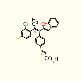 C/C(=C(/c1ccc(/C=C/C(=O)O)cc1)c1cc2ccccc2o1)c1ccc(F)cc1Cl